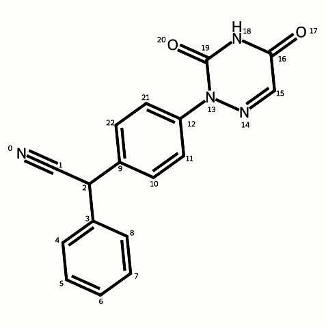 N#CC(c1ccccc1)c1ccc(-n2ncc(=O)[nH]c2=O)cc1